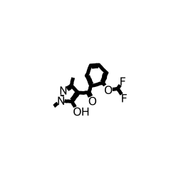 Cc1nn(C)c(O)c1C(=O)c1ccccc1OC(F)F